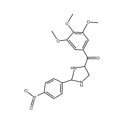 COc1cc(C(=O)C2CNC(c3ccc([N+](=O)[O-])cc3)N2)cc(OC)c1OC